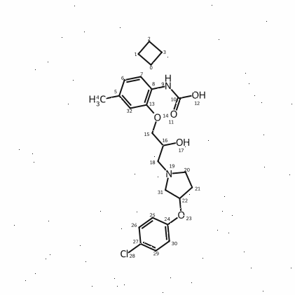 C1CCC1.Cc1ccc(NC(=O)O)c(OCC(O)CN2CCC(Oc3ccc(Cl)cc3)C2)c1